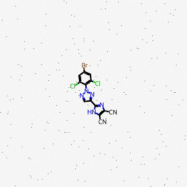 N#Cc1nc(-c2cnn(-c3c(Cl)cc(Br)cc3Cl)n2)[nH]c1C#N